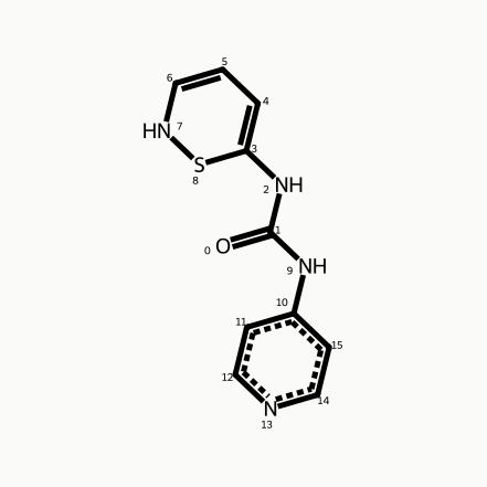 O=C(NC1=CC=CNS1)Nc1ccncc1